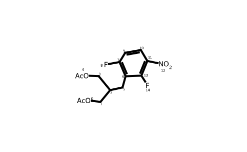 CC(=O)OCC(COC(C)=O)Cc1c(F)ccc([N+](=O)[O-])c1F